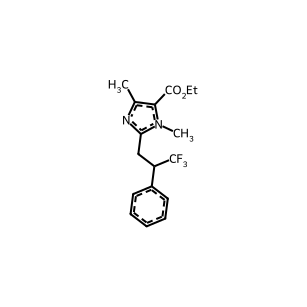 CCOC(=O)c1c(C)nc(CC(c2ccccc2)C(F)(F)F)n1C